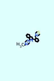 CCN1CCN(c2nc(-c3ccccc3CN3CCSCC3)cc3ccccc23)CC1